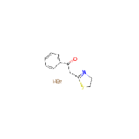 Br.O=C(CC1=NCCS1)c1ccccc1